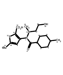 CC1CCC(C(=O)N(c2cc(C(C)(C)C)sc2C(=O)O)N(C)CCO)CC1